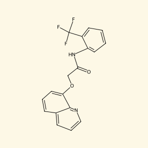 O=C(COc1cccc2cccnc12)Nc1ccccc1C(F)(F)F